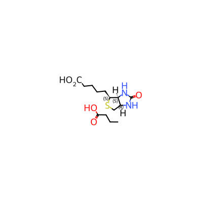 CCCC(=O)O.O=C(O)CCCC[C@@H]1SC[C@@H]2NC(=O)N[C@@H]21